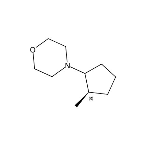 C[C@@H]1CCCC1N1CCOCC1